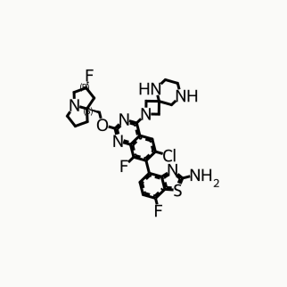 Nc1nc2c(-c3c(Cl)cc4c(N5CC6(CNCCN6)C5)nc(OC[C@@]56CCCN5C[C@H](F)C6)nc4c3F)ccc(F)c2s1